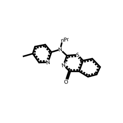 CCCN(c1ccc(C)cn1)c1nc(=O)c2ccccc2s1